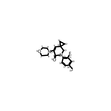 O=C1C(N2CCOCC2)=CC2(CC2)CN1c1ccc(I)cc1F